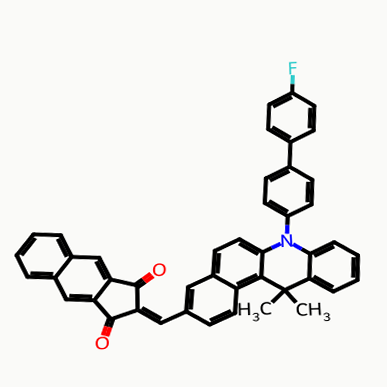 CC1(C)c2ccccc2N(c2ccc(-c3ccc(F)cc3)cc2)c2ccc3cc(C=C4C(=O)c5cc6ccccc6cc5C4=O)ccc3c21